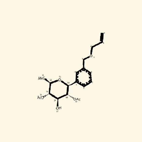 C=CCOCc1cccc([C@@H]2O[C@H](SC)[C@@H](OC(C)=O)[C@H](O)[C@H]2OC(C)=O)c1